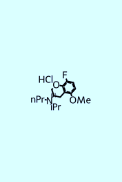 CCCN(C(C)C)[C@H]1COc2c(F)ccc(OC)c2C1.Cl